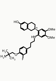 COc1cc(NCCCc2ccc(OCC(C)(C)N)c(F)c2)c([C@@H]2CCc3cc(O)ccc3C2)cc1OC